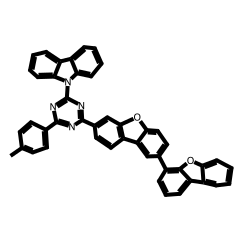 Cc1ccc(-c2nc(-c3ccc4c(c3)oc3ccc(-c5cccc6c5oc5ccccc56)cc34)nc(-n3c4ccccc4c4ccccc43)n2)cc1